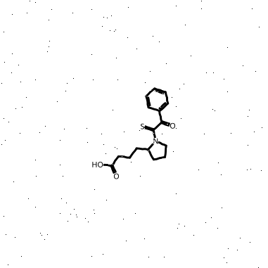 O=C(O)CCCC1CCCN1C(=S)C(=O)c1ccccc1